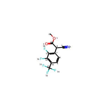 COC(=O)C(C#N)c1ccc(C(F)(F)F)c(F)c1F